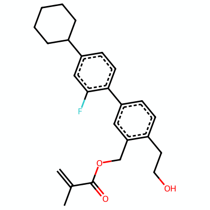 C=C(C)C(=O)OCc1cc(-c2ccc(C3CCCCC3)cc2F)ccc1CCO